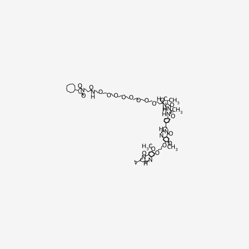 COc1cc2c(cc1OCCCOc1cc3c(cc1OC)C(=O)N1C=C(C4CC4)C[C@H]1C=N3)N=C[C@@H]1CC(c3ccc(NC(=O)[C@H](C)NC(=O)C(NC(=O)CCOCCOCCOCCOCCOCCOCCOCCOCCNC(=O)CCN4C(=O)CC(C5CCCCCCCC5)C4=O)C(C)C)cc3)=CN1C2=O